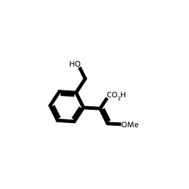 CO/C=C(\C(=O)O)c1ccccc1CO